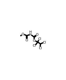 COC(=O)NC(=O)OC(Cl)(Cl)C(Cl)Cl